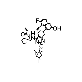 C#Cc1c(F)ccc2cc(O)cc([C@@H]3CCc4c(nc(OC[C@]5(C)C[C@@H](F)CN5C)nc4NCC4(N(C)C(=O)C=C)CCCC4)C3)c12